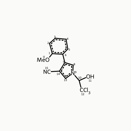 COc1ccccc1-c1cn(C(O)C(Cl)(Cl)Cl)cc1C#N